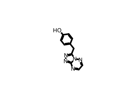 Oc1ccc(Cc2nnc3nccnn23)cc1